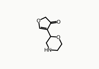 O=C1COC=C1C1CNCCO1